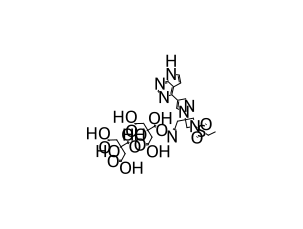 CCS(=O)(=O)N1CC(CC#N)(n2cc(-c3ncnc4[nH]ccc34)cn2)C1.O=C(O)CC(O)(CC(=O)O)C(=O)O.O=C(O)CC(O)(CC(=O)O)C(=O)O